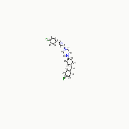 Fc1ccc(/C=C/CN2CCN(c3ccc(Cc4ccc(F)cc4)cc3)CC2)cc1